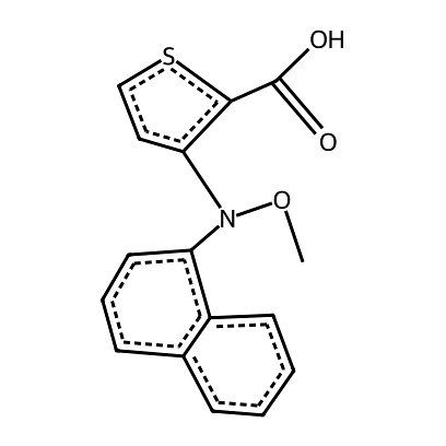 CON(c1ccsc1C(=O)O)c1cccc2ccccc12